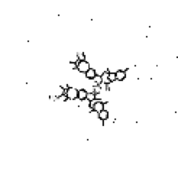 CCC1C2CC(C)(CC(c3ccc4c(c3)CC3(C)CC(C)(C4)C(C)C3[SiH3])C1[Si](C)(C)O[Si](C)(C)C1CC3(C)CCC(C)(CC1c1ccc4c(c1)CC1(C)CC(C)(C4)C(C)C1[SiH3])c1cc(C)ccc13)c1cc(C)ccc12